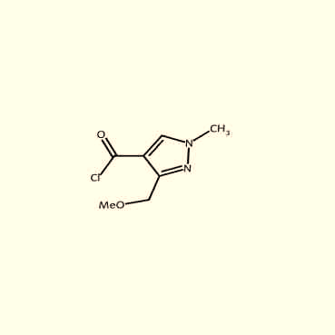 COCc1nn(C)cc1C(=O)Cl